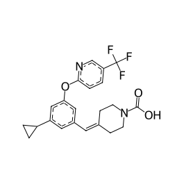 O=C(O)N1CCC(=Cc2cc(Oc3ccc(C(F)(F)F)cn3)cc(C3CC3)c2)CC1